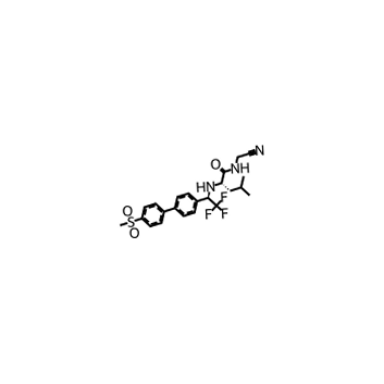 CC(C)C[C@H](N[C@H](c1ccc(-c2ccc(S(C)(=O)=O)cc2)cc1)C(F)(F)F)C(=O)NCC#N